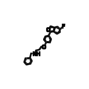 Fc1ccc2c(-c3ccc(OCCCNCc4ccccc4)cc3)occ2c1